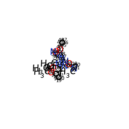 CCn1cc(Cc2cc(OC(=O)C(C)(C)C)cc3ccccc23)c2nc(OCC3CCCN3C)nc(N3CCN(C(=O)OCc4ccccc4)C(CC#N)C3)c21